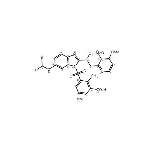 COc1ccnc(C[S+]([O-])c2nc3ccc(OC(F)F)cc3n2S(=O)(=O)c2cccc(C(=O)O)c2C)c1OC.[NaH]